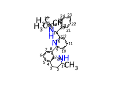 CC1CCc2cccc(-c3cccc(C(NC(C)(C)C)c4ccccc4)n3)c2N1